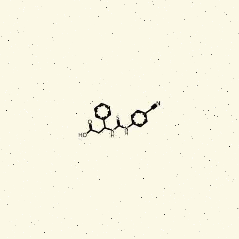 N#Cc1ccc(NC(=S)NC(CC(=O)O)c2ccccc2)cc1